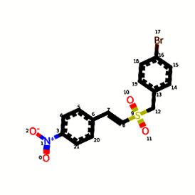 O=[N+]([O-])c1ccc(/C=C/S(=O)(=O)Cc2ccc(Br)cc2)cc1